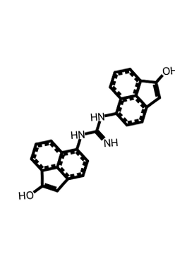 N=C(Nc1ccc2c3c(cccc13)C(O)=C2)Nc1ccc2c3c(cccc13)C(O)=C2